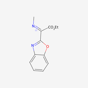 CCOC(=O)/C(=N\C)c1nc2ccccc2o1